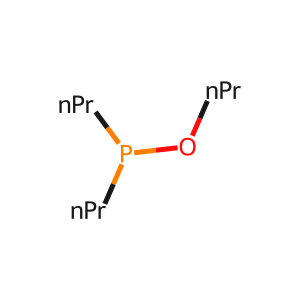 CCCOP(CCC)CCC